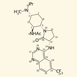 CC(=O)N[C@H]1C[C@H](N(C)C(C)C)CC[C@@H]1N1CC[C@H](Nc2ncnc3ccc(C(F)(F)F)cc23)C1=O